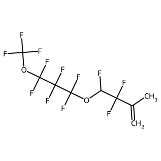 C=C(C)C(F)(F)C(F)OC(F)(F)C(F)(F)C(F)(F)OC(F)(F)F